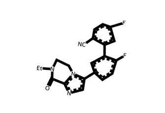 CCN1CCn2c(-c3ccc(F)c(-c4cc(F)ccc4C#N)c3)cnc2C1=O